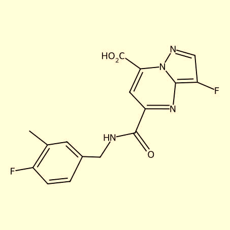 Cc1cc(CNC(=O)c2cc(C(=O)O)n3ncc(F)c3n2)ccc1F